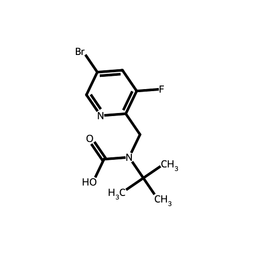 CC(C)(C)N(Cc1ncc(Br)cc1F)C(=O)O